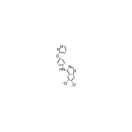 COc1cc2ncnc(Nc3ccc(Oc4cccnn4)cc3)c2cc1OC